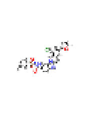 Cc1cccc(S(=O)(=O)NC(=O)c2ccc3nc(C)n(Cc4ccc(-c5ccco5)cc4Cl)c3c2)c1